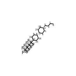 CCCC[C@H]1CC[C@H](C2CCC(C(F)(F)C(F)(F)C(F)(F)C(F)(F)F)CC2)CC1